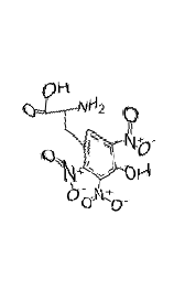 NC(Cc1cc([N+](=O)[O-])c(O)c([N+](=O)[O-])c1[N+](=O)[O-])C(=O)O